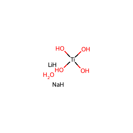 O.[LiH].[NaH].[OH][Ti]([OH])([OH])[OH]